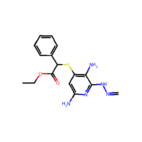 C=NNc1nc(N)cc(SC(C(=O)OCC)c2ccccc2)c1N